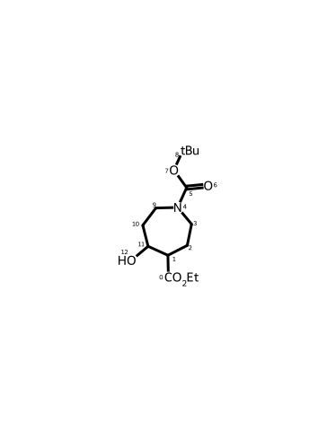 CCOC(=O)C1CCN(C(=O)OC(C)(C)C)CCC1O